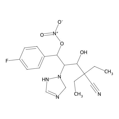 CCC(C#N)(CC)C(O)C(C(O[N+](=O)[O-])c1ccc(F)cc1)N1CN=CN1